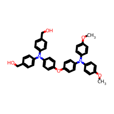 COc1ccc(N(c2ccc(OC)cc2)c2ccc(Oc3ccc(N(c4ccc(CO)cc4)c4ccc(CO)cc4)cc3)cc2)cc1